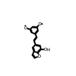 COc1cc(/C=C/c2cc(O)c3occc3c2)cc(OC)c1